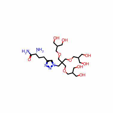 NC(=O)[C@H](N)CCc1cn(CC(COCC(CO)CO)(COCC(CO)CO)COCC(CO)CO)nn1